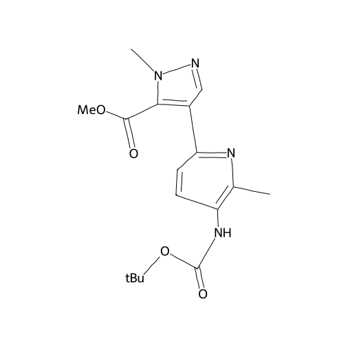 COC(=O)c1c(-c2ccc(NC(=O)OC(C)(C)C)c(C)n2)cnn1C